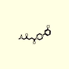 CN(C)CC(=O)CCC(=O)N1CCN(c2cccc(Cl)c2)CC1